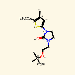 CCOC(=O)c1sc(N2CCN(CCO[Si](C)(C)C(C)(C)C)C2=O)cc1C